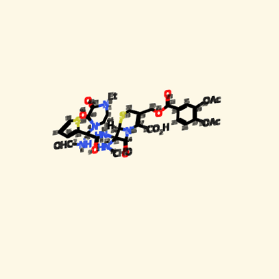 CCN1CCN([C@@](NC=O)(C(=O)N[C@]2(NC=O)C(=O)N3C(C(=O)O)=C(COC(=O)c4ccc(OC(C)=O)c(OC(C)=O)c4)CS[C@@H]32)c2cccs2)C(=O)C1=O